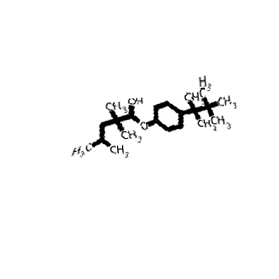 CC(C)CC(C)(C)C(O)OC1CCC(C(C)(C)C(C)(C)C)CC1